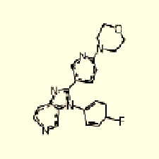 FC1C=CC(n2c(-c3ccc(N4CCOCC4)nc3)nc3ccncc32)=CC1